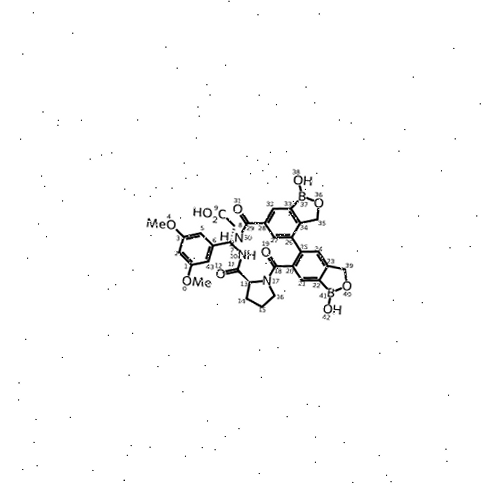 COc1cc(OC)cc([C@H](CC(=O)O)NC(=O)[C@@H]2CCCN2C(=O)c2cc3c(cc2-c2cc(C(N)=O)cc4c2COB4O)COB3O)c1